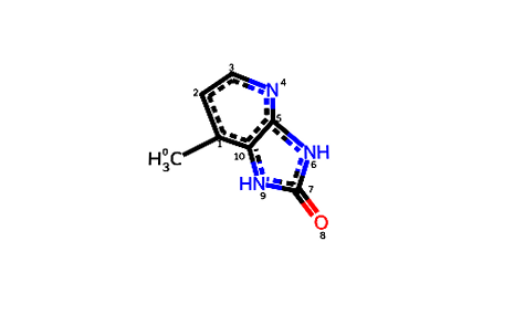 Cc1ccnc2[nH]c(=O)[nH]c12